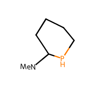 CNC1CCCCP1